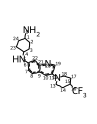 NC1CCC(Nc2ccc3cc(N4CCC(C(F)(F)F)CC4)cnc3c2)CC1